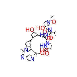 C=CC(=O)N1CCC(O)(C(=O)N(C)[C@H](C(=O)N[C@H]2Cc3cc(O)cc(c3)-c3ccc4c(c3)c(c(-c3cccnc3)n4[C@H](C)C#N)CC(C)(C)COC(=O)[C@@]3(O)CCCN(N3)C2=O)C(C)C)C1